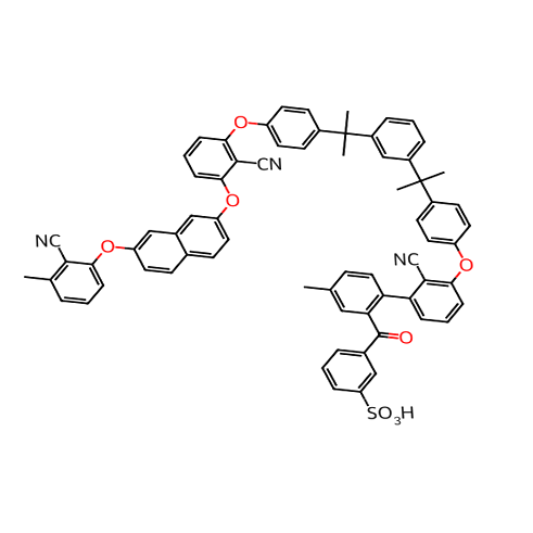 Cc1ccc(-c2cccc(Oc3ccc(C(C)(C)c4cccc(C(C)(C)c5ccc(Oc6cccc(Oc7ccc8ccc(Oc9cccc(C)c9C#N)cc8c7)c6C#N)cc5)c4)cc3)c2C#N)c(C(=O)c2cccc(S(=O)(=O)O)c2)c1